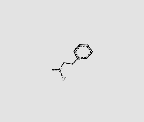 C[S+]([O-])CCc1ccccc1